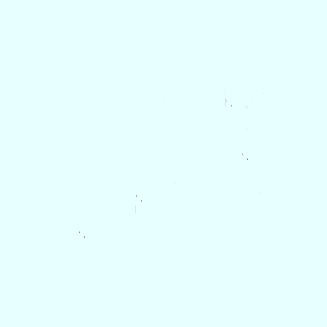 Cc1cc(CNc2ccc3c(c2)Cc2cccc(-c4cc(N5CCOCC5)cc(=O)[nH]4)c2O3)ccn1